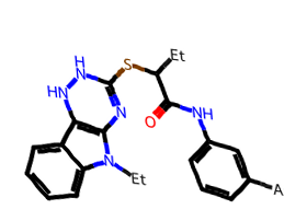 CCC(SC1=Nc2c(c3ccccc3n2CC)NN1)C(=O)Nc1cccc(C(C)=O)c1